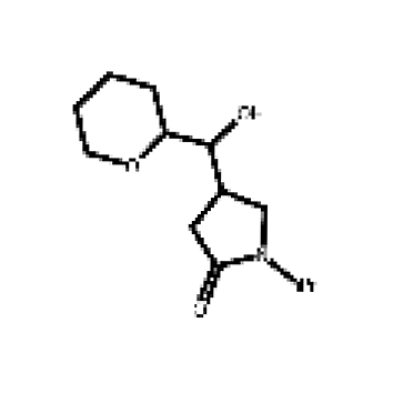 CC(C)N1CC(C(O)C2CCCCO2)CC1=O